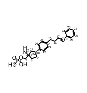 N[C@]1(COP(=O)(O)O)CC[C@H](c2ccc(CCCOc3ccccc3)cc2)C1